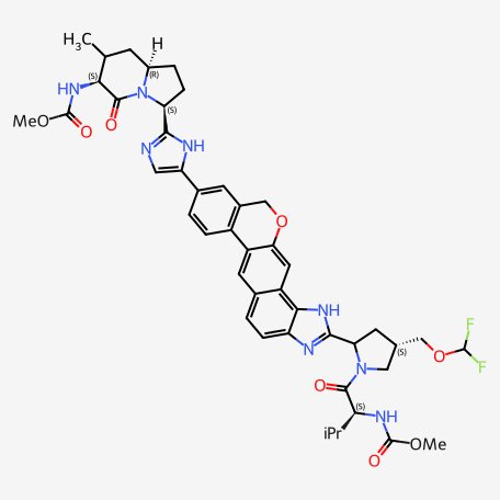 COC(=O)N[C@H](C(=O)N1C[C@@H](COC(F)F)CC1c1nc2ccc3cc4c(cc3c2[nH]1)OCc1cc(-c2cnc([C@@H]3CC[C@@H]5CC(C)[C@H](NC(=O)OC)C(=O)N53)[nH]2)ccc1-4)C(C)C